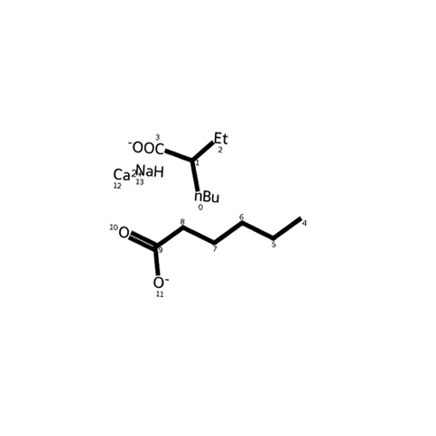 CCCCC(CC)C(=O)[O-].CCCCCC(=O)[O-].[Ca+2].[NaH]